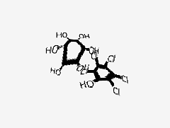 O[C@H]1[C@H](O)[C@@H](O)[C@H](O)[C@@H](O)[C@H]1O.Oc1c(Cl)c(Cl)c(Cl)c(Cl)c1Cl